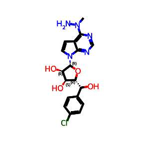 CN(N)c1ncnc2c1ccn2[C@@H]1O[C@H](C(O)c2ccc(Cl)cc2)[C@@H](O)[C@H]1O